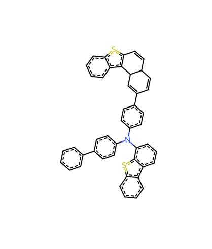 C1=CC2C=Cc3sc4ccccc4c3C2C=C1c1ccc(N(c2ccc(-c3ccccc3)cc2)c2cccc3c2sc2ccccc23)cc1